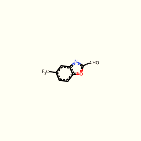 O=Cc1nc2cc(C(F)(F)F)ccc2o1